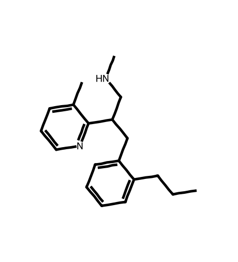 CCCc1ccccc1CC(CNC)c1ncccc1C